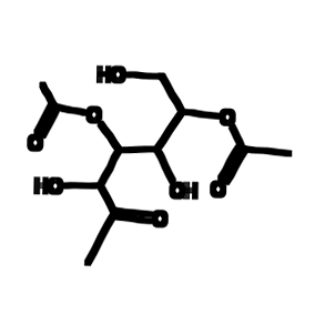 CC(=O)OC(CO)C(O)C(OC(C)=O)C(O)C(C)=O